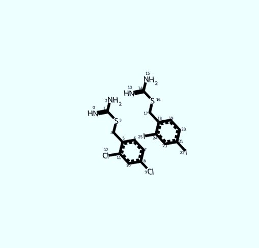 N=C(N)SCc1ccc(Cl)cc1Cl.N=C(N)SCc1ccc(I)cc1I